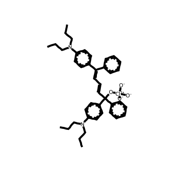 CCCN(CCC)c1ccc(C(=CC=CC(O[Cl+3]([O-])([O-])[O-])(c2ccccc2)c2ccc(N(CCC)CCC)cc2)c2ccccc2)cc1